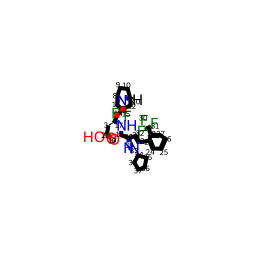 O=C(O)C[C@H](CCN1C2CC[C@@H]1CC(F)(F)C2)NC(=O)c1cc(-c2ccccc2C(F)(F)F)n(C2CCCC2)n1